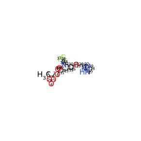 CC1OC(=O)OC1COC(=O)CC1Cc2ccc(OCCc3cn4c(n3)NCCC4)cc2CN(CC(F)(F)F)C1=O